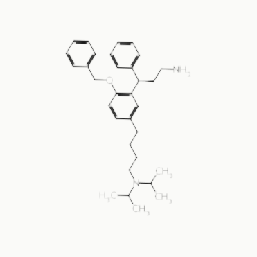 CC(C)N(CCCCc1ccc(OCc2ccccc2)c([C@H](CCN)c2ccccc2)c1)C(C)C